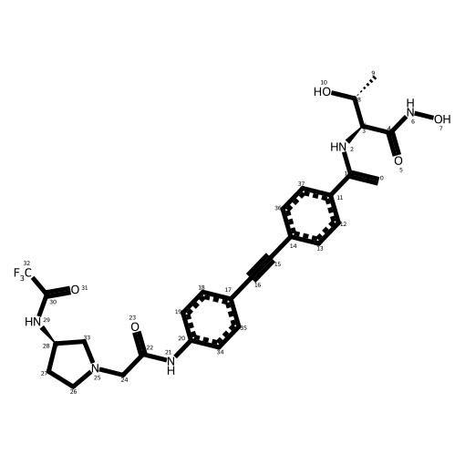 C=C(N[C@H](C(=O)NO)[C@@H](C)O)c1ccc(C#Cc2ccc(NC(=O)CN3CC[C@@H](NC(=O)C(F)(F)F)C3)cc2)cc1